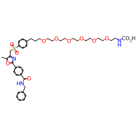 Cc1oc(-c2ccc(C(=O)NCc3ccccc3)cc2)nc1CS(=O)(=O)c1ccc(CCCOCCOCCOCCOCCOCCOCCNC(=O)O)cc1